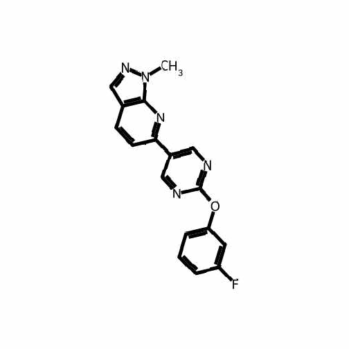 Cn1ncc2ccc(-c3cnc(Oc4cccc(F)c4)nc3)nc21